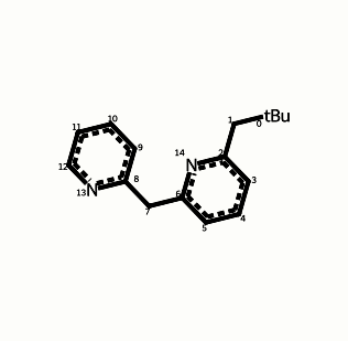 CC(C)(C)Cc1cccc(Cc2ccccn2)n1